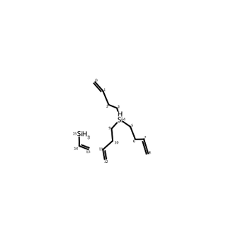 C=CCC[SiH](CCC=C)CCC=C.C=C[SiH3]